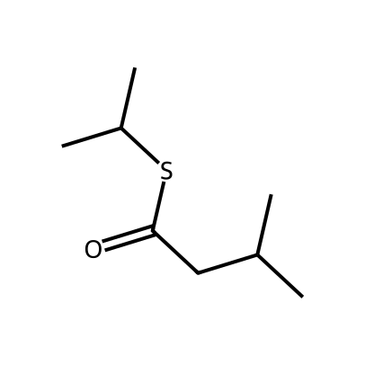 CC(C)CC(=O)SC(C)C